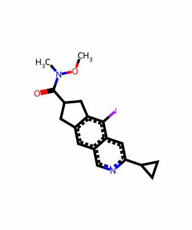 CON(C)C(=O)C1Cc2cc3cnc(C4CC4)cc3c(I)c2C1